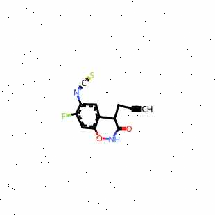 C#CCC1C(=O)NOc2cc(F)c(N=C=S)cc21